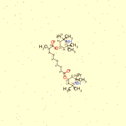 CC(CCCCCCCC(=O)OC1CC(C)(C)NC(C)(C(C)C)C1)C(=O)OC1CC(C)(C)NC(C)(C(C)C)C1